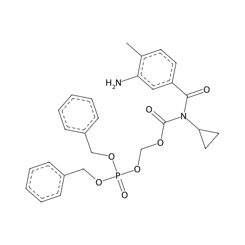 Cc1ccc(C(=O)N(C(=O)OCOP(=O)(OCc2ccccc2)OCc2ccccc2)C2CC2)cc1N